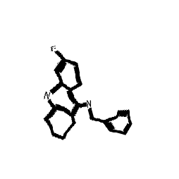 Fc1ccc2c(/N=C/c3ccccc3)c3c(nc2c1)CCCC3